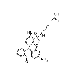 N=c1ccc2c(-c3ccccc3C=O)c3ccc(N)cc3oc-2c1S(=O)(=O)NCCCCCC(=O)O